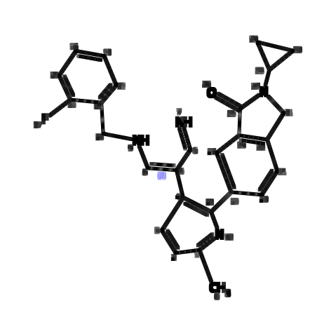 Cc1ccc(/C(C=N)=C/NCc2ccccc2F)c(-c2ccc3c(c2)C(=O)N(C2CC2)C3)n1